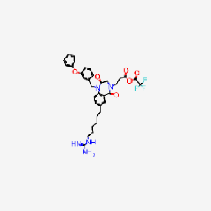 N=C(N)NCCCCCCc1ccc2c(c1)C(=O)N(CCC(=O)OC(=O)C(F)(F)F)CC(=O)N2Cc1cccc(Oc2ccccc2)c1